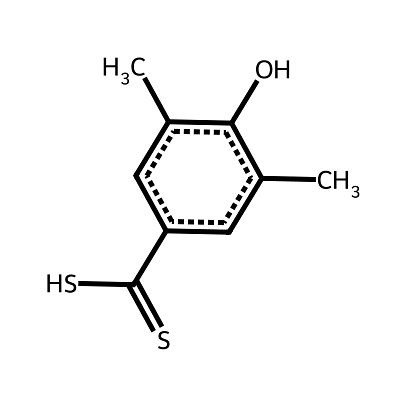 Cc1cc(C(=S)S)cc(C)c1O